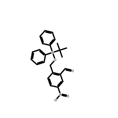 CC(C)(C)[Si](OCc1ccc([N+](=O)[O-])cc1C=O)(c1ccccc1)c1ccccc1